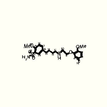 COc1ccc(F)cc1OCCNCCCCc1ccc(OC)c(S(N)(=O)=O)c1